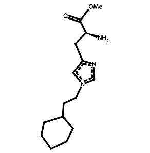 COC(=O)[C@@H](N)Cc1cn(CCC2CCCCC2)cn1